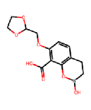 O=C(O)c1c(OCC2OCCO2)ccc2c1OB(O)CC2